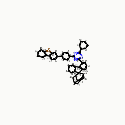 c1ccc(-c2nc(-c3ccc(-c4ccc5c(c4)sc4ccccc45)cc3)nc(-c3cccc4c3-c3ccccc3C43C4CC5CC(C4)CC3C5)n2)cc1